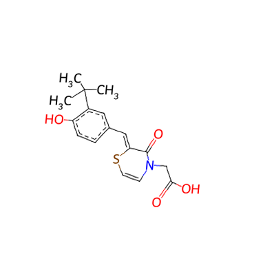 CC(C)(C)c1cc(C=C2SC=CN(CC(=O)O)C2=O)ccc1O